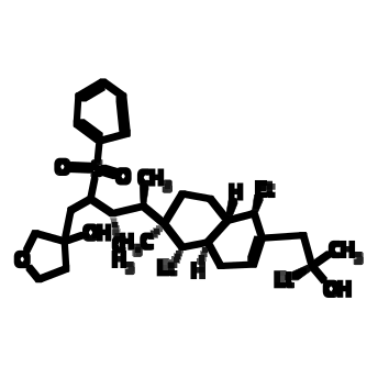 CC[C@H]1C(C[C@](C)(O)CC)=CC[C@@H]2[C@@H]1CC[C@](C)([C@H](C)[C@H](C)C(CC1(O)CCOC1)S(=O)(=O)c1ccccc1)[C@H]2CC